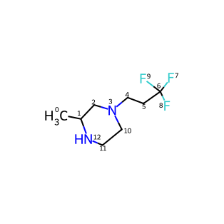 CC1CN(CCC(F)(F)F)CCN1